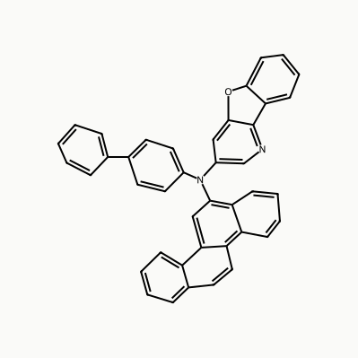 c1ccc(-c2ccc(N(c3cnc4c(c3)oc3ccccc34)c3cc4c5ccccc5ccc4c4ccccc34)cc2)cc1